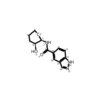 O=C(N[C@@H]1CCCC[C@@H]1O)c1ccc2[nH]ncc2c1